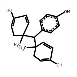 CC1(C(c2ccc(O)cc2)C2(C)C=CC(O)=CC2)C=CC(O)=CC1